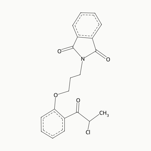 CC(Cl)C(=O)c1ccccc1OCCCN1C(=O)c2ccccc2C1=O